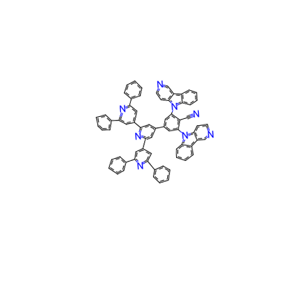 N#Cc1c(-n2c3ccccc3c3cnccc32)cc(-c2cc(-c3cc(-c4ccccc4)nc(-c4ccccc4)c3)nc(-c3cc(-c4ccccc4)nc(-c4ccccc4)c3)c2)cc1-n1c2ccccc2c2cnccc21